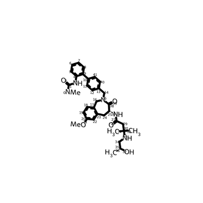 CNC(=O)Nc1ccccc1-c1ccc(CN2Cc3ccc(OC)cc3C[C@@H](NC(=O)CC(C)(C)NC[C@@H](C)O)C2=O)cc1